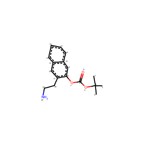 CC(C)(C)OC(=O)Oc1cc2ccccc2cc1CCN